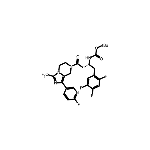 CC(C)(C)OC(=O)N[C@@H](CC(=O)N1CCn2c(C(F)(F)F)nc(-c3ccc(F)nc3)c2C1)Cc1cc(F)c(F)cc1F